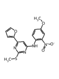 COc1ccc(Nc2cc(-c3ccco3)nc(SC)n2)c([N+](=O)[O-])c1